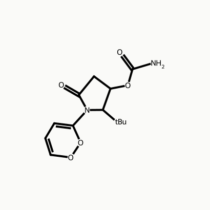 CC(C)(C)C1C(OC(N)=O)CC(=O)N1C1=CC=COO1